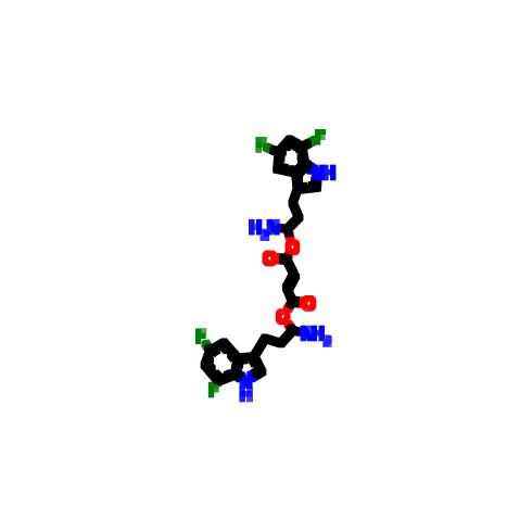 NC(CCc1c[nH]c2c(F)cc(F)cc12)OC(=O)/C=C/C(=O)OC(N)CCc1c[nH]c2c(F)cc(F)cc12